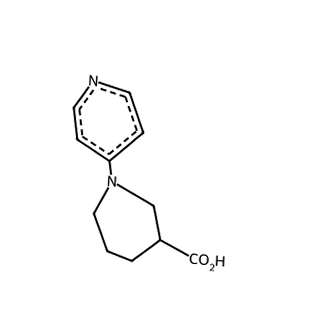 O=C(O)C1CCCN(c2ccncc2)C1